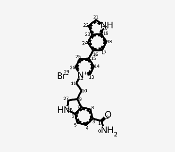 NC(=O)c1ccc2c(c1)C(CC[n+]1ccc(-c3ccc4[nH]ccc4c3)cc1)CN2.[Br-]